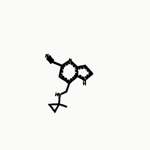 CC1(NCc2cc(C#N)nc3cc[nH]c23)CC1